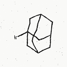 [Ir][C]12CC3CC(CC(C3)C1)C2